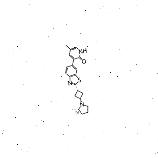 Cc1c[nH]c(=O)c(-c2ccc3nc([C@H]4C[C@H](N5CCC[C@@H]5C)C4)sc3c2)c1